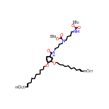 CCCCCCCCC=CCCCCCCCCOc1ccc(C(=O)NCCCCN(CCCCNC(=O)OC(C)(C)C)C(=O)OC(C)(C)C)cc1OCCCCCCCCC=CCCCCCCCC